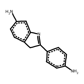 Nc1ccc(C2=Nc3cc(N)ccc3C2)cc1